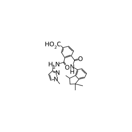 CC1CC(C)(C)c2cccc(NC(=O)c3ccc(C(=O)O)cc3C(N)=O)c21.Cc1ccn(C)n1